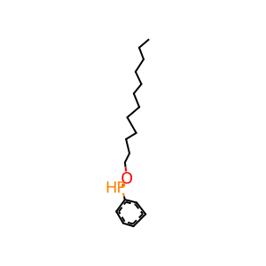 CCCCCCCCCCCCOPc1ccccc1